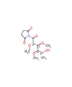 CO[C@@H]([C@H](OC)[C@@H](C)O)[C@H](OC)C(=O)N1C(=O)CCC1=O